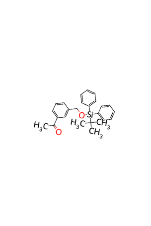 CC(=O)c1cccc(CO[Si](c2ccccc2)(c2ccccc2)C(C)(C)C)c1